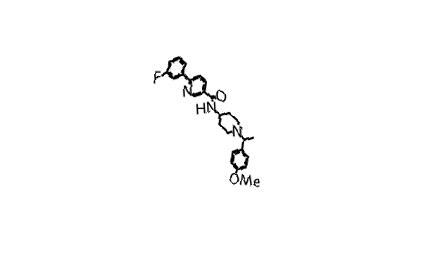 COc1ccc(C(C)N2CCC(NC(=O)c3ccc(-c4cccc(F)c4)nc3)CC2)cc1